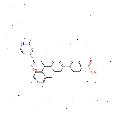 Cc1cc(/C(C[C@@H](c2ccc(-c3ccc(C(=O)O)cc3)cc2)c2ccccc2C)=N/O)ccn1